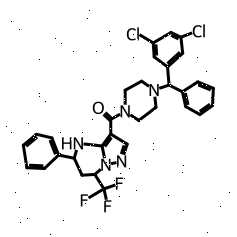 O=C(c1cnn2c1NC(c1ccccc1)CC2C(F)(F)F)N1CCN(C(c2ccccc2)c2cc(Cl)cc(Cl)c2)CC1